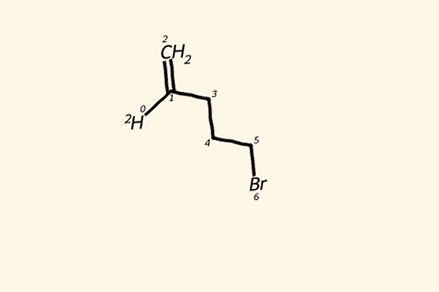 [2H]C(=C)CCCBr